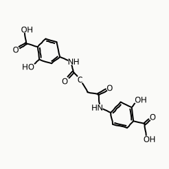 O=C(CCC(=O)Nc1ccc(C(=O)O)c(O)c1)Nc1ccc(C(=O)O)c(O)c1